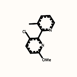 COc1ccc(Cl)c(-c2ncccc2C)n1